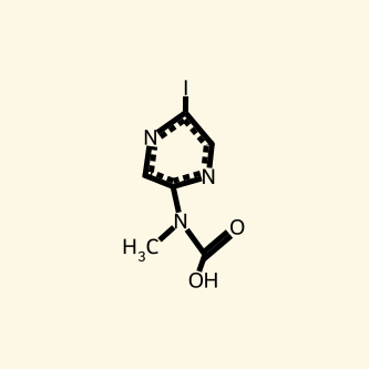 CN(C(=O)O)c1cnc(I)cn1